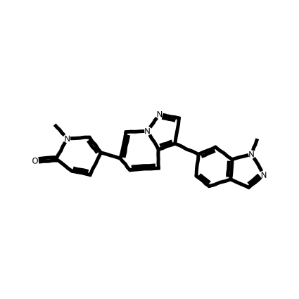 Cn1cc(-c2ccc3c(-c4ccc5cnn(C)c5c4)cnn3c2)ccc1=O